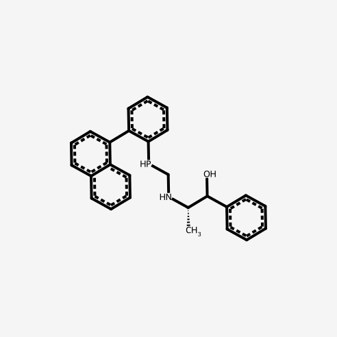 C[C@H](NCPc1ccccc1-c1cccc2ccccc12)C(O)c1ccccc1